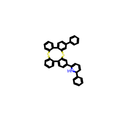 C1=CC(c2ccccc2)NC(c2ccc3c(c2)Sc2cc(-c4ccccc4)ccc2-c2ccccc2Sc2ccccc2-3)=C1